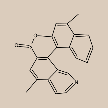 Cc1cc2c(c3ccccc13)-c1c(cc(C)c3ccncc13)S(=O)O2